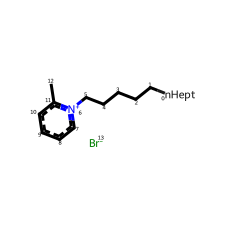 CCCCCCCCCCCC[n+]1ccccc1C.[Br-]